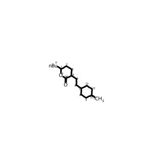 CCCCC1CCC(CCC2CCC(C)CC2)C(=O)O1